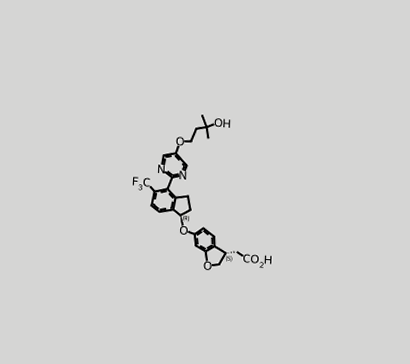 CC(C)(O)CCOc1cnc(-c2c(C(F)(F)F)ccc3c2CC[C@H]3Oc2ccc3c(c2)OC[C@H]3CC(=O)O)nc1